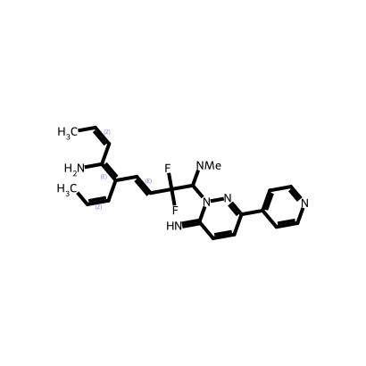 C\C=C/C(N)=C(/C=C\C)\C=C\C(F)(F)C(NC)n1nc(-c2ccncc2)ccc1=N